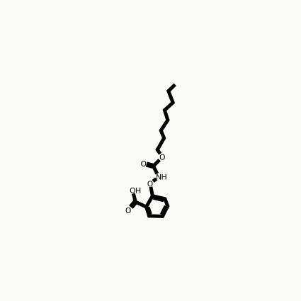 CCCCCCCCOC(=O)NOc1ccccc1C(=O)O